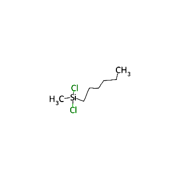 CCCCCC[Si](C)(Cl)Cl